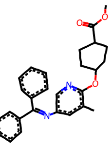 COC(=O)C1CCC(Oc2ncc(N=C(c3ccccc3)c3ccccc3)cc2C)CC1